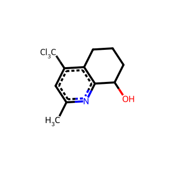 Cc1cc(C(Cl)(Cl)Cl)c2c(n1)C(O)CCC2